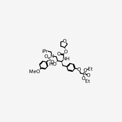 CCOP(=O)(COc1ccc(C[C@H](NC(=O)O[C@@H]2CCOC2)[C@H](O)CN(CC(C)C)S(=O)(=O)c2ccc(OC)cc2)cc1)OCC